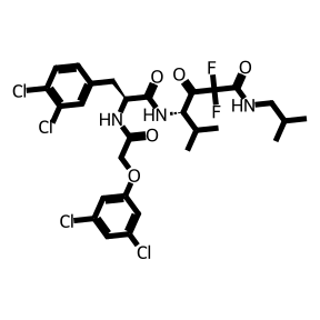 CC(C)CNC(=O)C(F)(F)C(=O)[C@@H](NC(=O)[C@H](Cc1ccc(Cl)c(Cl)c1)NC(=O)COc1cc(Cl)cc(Cl)c1)C(C)C